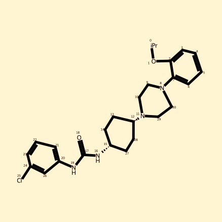 CC(C)Oc1ccccc1N1CCN([C@H]2CC[C@@H](NC(=O)Nc3cccc(Cl)c3)CC2)CC1